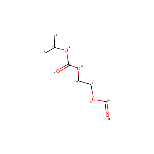 CC(C)OC(=O)OCCOC=O